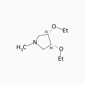 CCO[C@H]1CN(C)C[C@H]1OCC